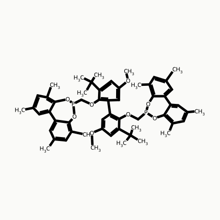 COc1cc(-c2cc(OC)cc(C(C)(C)C)c2OCp2oc3c(C)cc(C)cc3c3cc(C)cc(C)c3o2)c(OCp2oc3c(C)cc(C)cc3c3cc(C)cc(C)c3o2)c(C(C)(C)C)c1